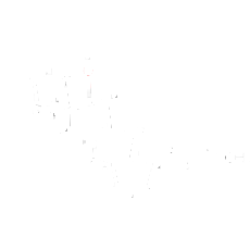 CCCCc1cccc2cc3c(cc12)CC(=O)C1(CC2=CCC1C2)C3